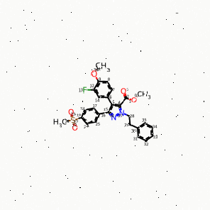 COC(=O)c1c(-c2ccc(OC)c(F)c2)c(-c2ccc(S(C)(=O)=O)cc2)nn1CCc1ccccc1